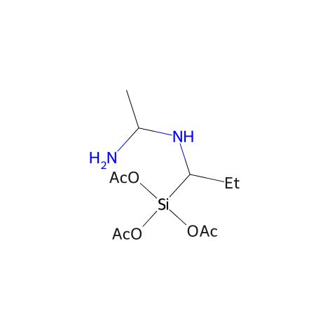 CCC(NC(C)N)[Si](OC(C)=O)(OC(C)=O)OC(C)=O